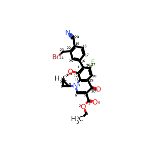 CCOC(=O)c1cn(C2CC2)c2c(OC)c(-c3ccc(C#N)c(CBr)c3)c(F)cc2c1=O